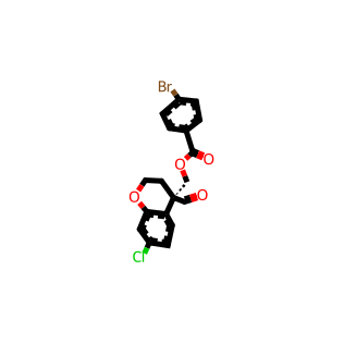 O=C[C@]1(COC(=O)c2ccc(Br)cc2)CCOc2cc(Cl)ccc21